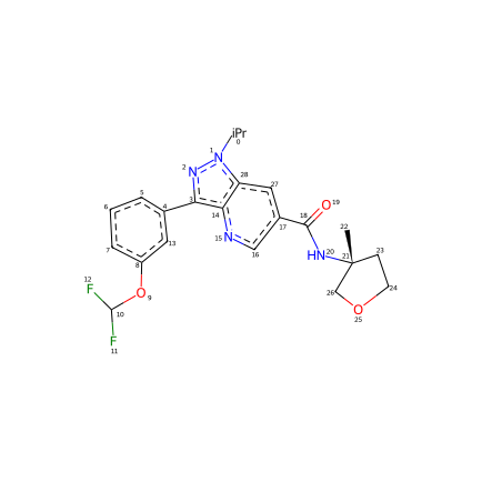 CC(C)n1nc(-c2cccc(OC(F)F)c2)c2ncc(C(=O)N[C@]3(C)CCOC3)cc21